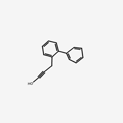 OC#CCc1ccccc1-c1ccccc1